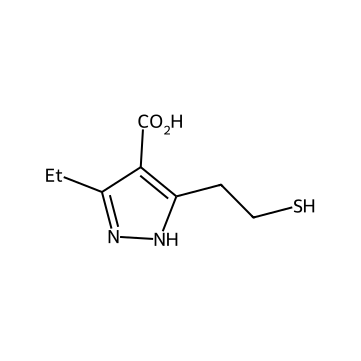 CCc1n[nH]c(CCS)c1C(=O)O